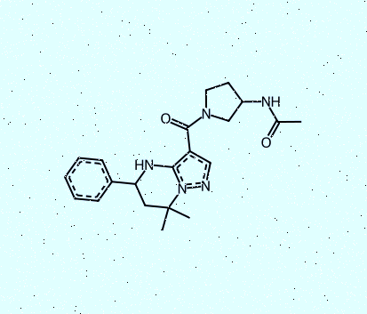 CC(=O)NC1CCN(C(=O)c2cnn3c2NC(c2ccccc2)CC3(C)C)C1